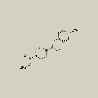 CC(C)(C)OC(=O)N1CCN(C2CCc3cc(C#N)ccc3C2)CC1